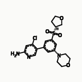 Nc1cc(Cl)c(-c2cc(N3CCOCC3)cc(S(=O)(=O)[C@@H]3CCOC3)c2)cn1